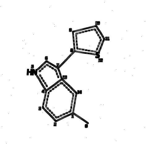 Cc1ccc2[nH]cc(-c3cccs3)c2c1